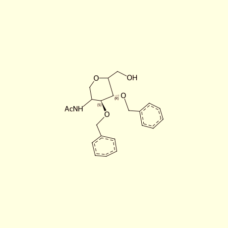 CC(=O)NC1COC(CO)[C@H](OCc2ccccc2)[C@H]1OCc1ccccc1